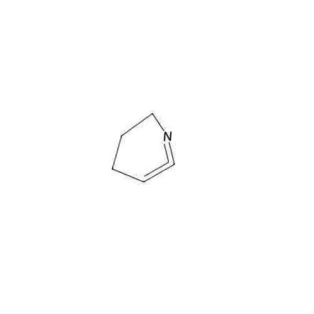 C1=CCCCN=1